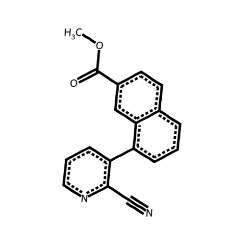 COC(=O)c1ccc2cccc(-c3cccnc3C#N)c2c1